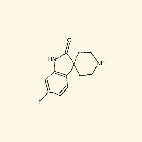 O=C1Nc2cc(I)ccc2C12CCNCC2